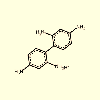 Nc1ccc(-c2ccc(N)cc2N)c(N)c1.[H+]